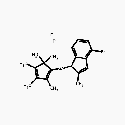 CC1=Cc2c(Br)cccc2[CH]1[Zr+2][C]1=C(C)C(C)=C(C)C1(C)C.[F-].[F-]